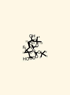 CC(C)(C)OC(=O)N(C(=O)OC(C)(C)C)C1(C(=O)O)C[C@@]1(F)/C=C/C(=O)O